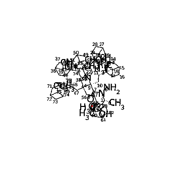 C[C@H](C(=O)O)N(N)C(=O)[C@](CCC1=CCC2CC1C2(C)C)(N(CCC1=CCC2CC1C2(C)C)CCC1=CCC2C[C@H]1C2(C)C)C(CCC1=CCC2CC1C2(C)C)(CCC1=CCC2CC1C2(C)C)CCC1=CCC2CC1C2(C)C